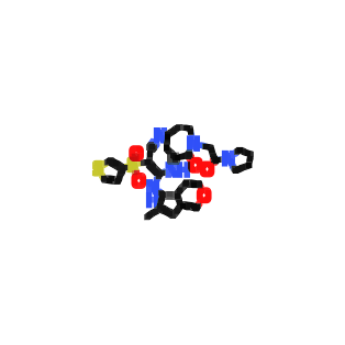 Cc1cc2coccc-2c1NC(N[C@H]1CCCCN(CC(=O)N2CCCC2)C1=O)=C(C#N)S(=O)(=O)c1ccsc1